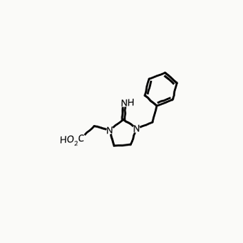 N=C1N(CC(=O)O)CCN1Cc1ccccc1